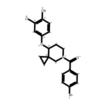 CC(C)c1ccc(C(=O)N2CCC(Oc3ccc(C#N)c(Cl)c3)C3(CC3)C2)cc1